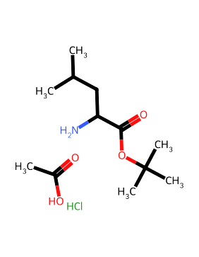 CC(=O)O.CC(C)CC(N)C(=O)OC(C)(C)C.Cl